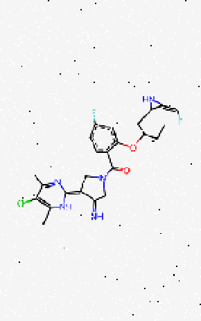 CC[C@H](CC1N/C1=C/F)Oc1cc(F)ccc1C(=O)N1CC(=N)/C(=C2/N=C(C)C(Cl)=C(C)N2)C1